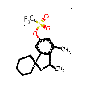 Cc1cc(OS(=O)(=O)C(F)(F)F)cc2c1C(C)CC21CCCCC1